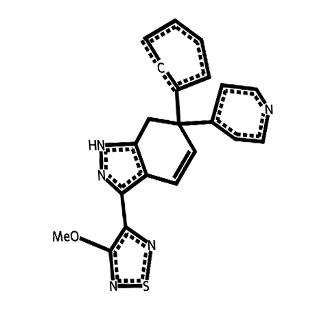 COc1nsnc1-c1n[nH]c2c1C=CC(c1ccccc1)(c1ccncc1)C2